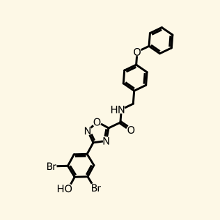 O=C(NCc1ccc(Oc2ccccc2)cc1)c1nc(-c2cc(Br)c(O)c(Br)c2)no1